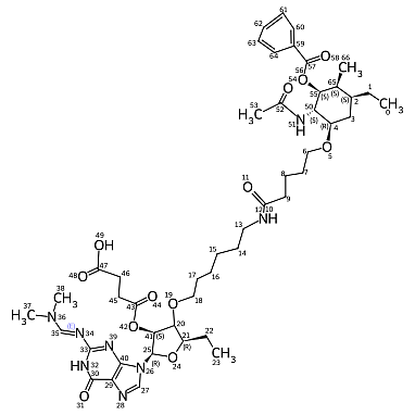 CC[C@H]1C[C@@H](OCCCCC(=O)NCCCCCCOC2[C@@H](CC)O[C@@H](n3cnc4c(=O)[nH]c(/N=C/N(C)C)nc43)[C@H]2OC(=O)CCC(=O)O)[C@H](NC(C)=O)[C@@H](OC(=O)c2ccccc2)[C@H]1C